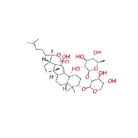 CC(C)CCC[C@]1(C)OC(=O)[C@]23[C@@H](O)C=C4[C@@H](CC[C@H]5C(C)(C)[C@@H](O[C@@H]6OC[C@@H](O)[C@H](O)[C@H]6O[C@@H]6O[C@H](C)[C@@H](O)[C@H](O)[C@H]6O)CC[C@]45C)[C@]2(C)CC[C@@H]31